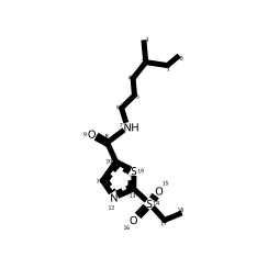 CCC(C)CCCNC(=O)c1cnc(S(=O)(=O)CC)s1